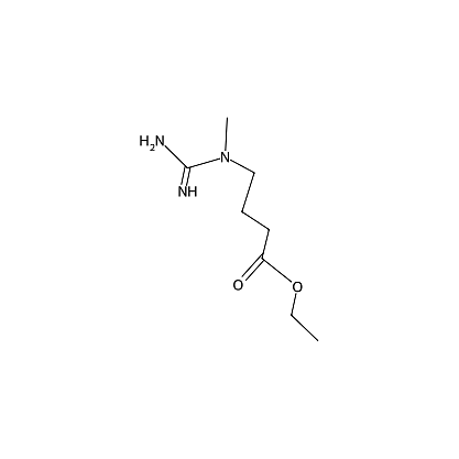 CCOC(=O)CCCN(C)C(=N)N